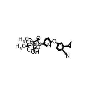 CC[C@H](C(=O)Nc1ccc(Oc2ccc(C#N)c(C3CC3)c2)nc1)N(C(=O)O)C(C)(C)C